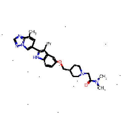 Cc1cc(-c2[nH]c3ccc(OCC4CCN(CC(=O)N(C)C)CC4)cc3c2C(C)C)cn2ncnc12